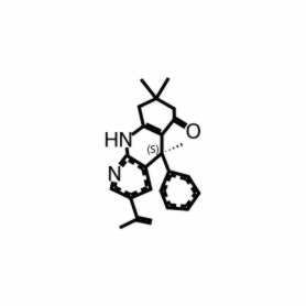 C=C(C)c1cnc2c(c1)[C@](C)(c1ccccc1)C1=C(CC(C)(C)CC1=O)N2